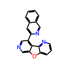 c1ccc2cc(-c3cncc4oc5cccnc5c34)ncc2c1